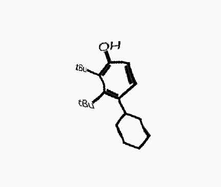 CC(C)(C)c1c(O)ccc(C2CCCCC2)c1C(C)(C)C